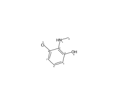 CNc1c(O)cccc1Cl